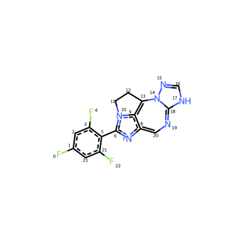 Fc1cc(F)c(-c2nc3c4n2CCC=4N2N=CNC2=NC=3)c(F)c1